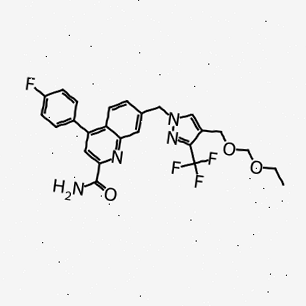 CCOCOCc1cn(Cc2ccc3c(-c4ccc(F)cc4)cc(C(N)=O)nc3c2)nc1C(F)(F)F